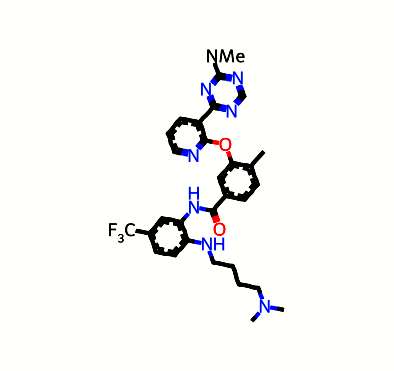 CNc1ncnc(-c2cccnc2Oc2cc(C(=O)Nc3cc(C(F)(F)F)ccc3NCCCCN(C)C)ccc2C)n1